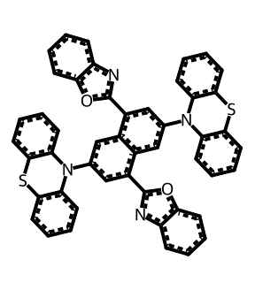 c1ccc2c(c1)Sc1ccccc1N2c1cc(-c2nc3ccccc3o2)c2cc(N3c4ccccc4Sc4ccccc43)cc(-c3nc4ccccc4o3)c2c1